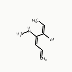 BNC(=C/C=C)/C(S)=C\C